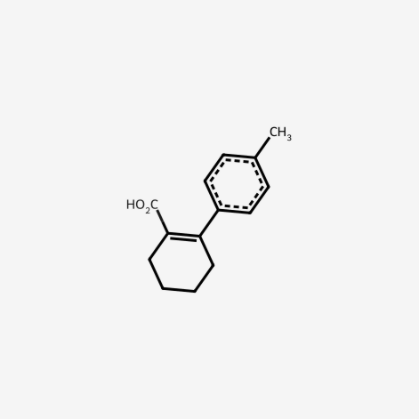 Cc1ccc(C2=C(C(=O)O)CCCC2)cc1